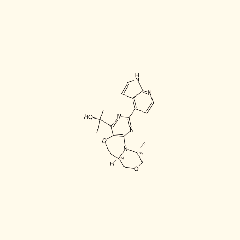 C[C@@H]1COC[C@H]2COc3c(nc(-c4ccnc5[nH]ccc45)nc3C(C)(C)O)N21